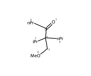 CCCC(=O)C(CCC)(COC)C(C)C